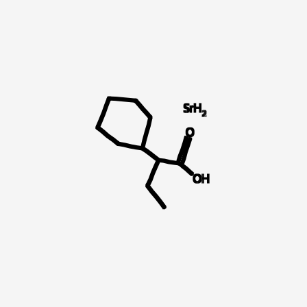 CCC(C(=O)O)C1CCCCC1.[SrH2]